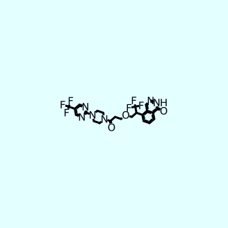 O=C(CCOCC(c1cccc2c(=O)[nH]ncc12)C(F)(F)F)N1CCN(c2ncc(C(F)(F)F)cn2)CC1